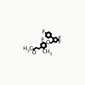 CC(=O)CCc1cc(F)c(OCC2=C(c3ccc(F)cc3)CC(F)(F)C2)cc1C